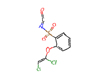 O=C=NS(=O)(=O)c1ccccc1OC(Cl)=CCl